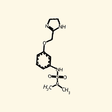 CN(C)S(=O)(=O)Nc1cccc(OCC2=NCCN2)c1